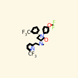 CN(CCc1cccc(C(F)(F)F)n1)[C@@H]1C[C@H](c2cccc(C(F)(F)F)c2)N(c2ccc(OC(F)F)cc2)C1=O